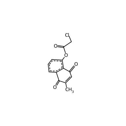 CC1=CC(=O)c2c(OC(=O)CCl)cccc2C1=O